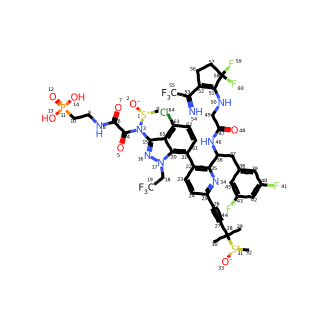 C[S+]([O-])N(C(=O)C(=O)NCCP(=O)(O)O)c1nn(CC(F)(F)F)c2c(-c3ccc(C#CC(C)(C)[S+](C)[O-])nc3C(Cc3cc(F)cc(F)c3)NC(=O)CNC3=C(C(=N)C(F)(F)F)CCC3(F)F)ccc(Cl)c12